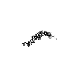 CCCC(F)(F)Oc1ccc(-c2ccc(-c3ccc(-c4ccc(-c5ccc(OC(C)(F)F)cc5)s4)c4nsnc34)s2)cc1